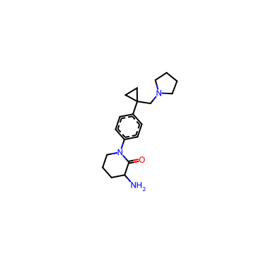 NC1CCCN(c2ccc(C3(CN4CCCC4)CC3)cc2)C1=O